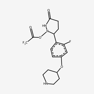 O=C1CCC(c2ccc(OC3CCNCC3)cc2F)N(OC(=O)C(F)(F)F)N1